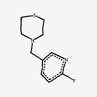 Fc1ccc(CN2CCSCC2)cn1